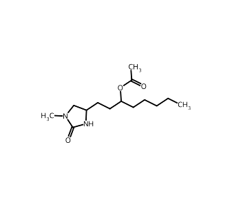 CCCCCC(CCC1CN(C)C(=O)N1)OC(C)=O